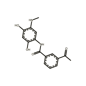 CNc1cc(NC(=O)c2cccc(C(C)=O)c2)c(O)cc1O